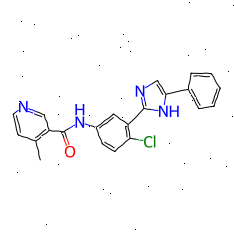 Cc1ccncc1C(=O)Nc1ccc(Cl)c(-c2ncc(-c3ccccc3)[nH]2)c1